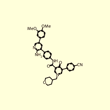 COc1ccc(-c2cnc(N)c(-c3ccc(NC(=O)c4cn(CC5CCOCC5)cc(-c5ccc(C#N)cc5)c4=O)cc3)c2)cc1OC